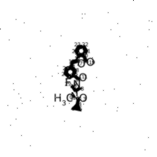 CN(C(=O)C1CC1)C1CN(C(=O)c2cc(C=C3OC(=O)c4ccccc43)ccc2F)C1